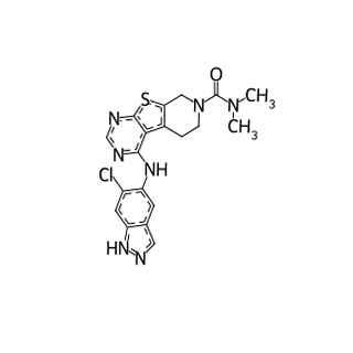 CN(C)C(=O)N1CCc2c(sc3ncnc(Nc4cc5cn[nH]c5cc4Cl)c23)C1